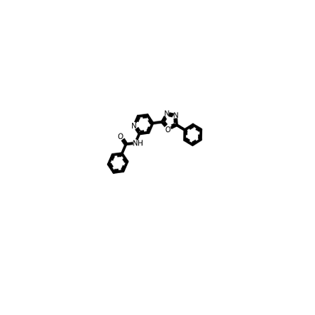 O=C(Nc1cc(-c2nnc(-c3ccccc3)o2)ccn1)c1ccccc1